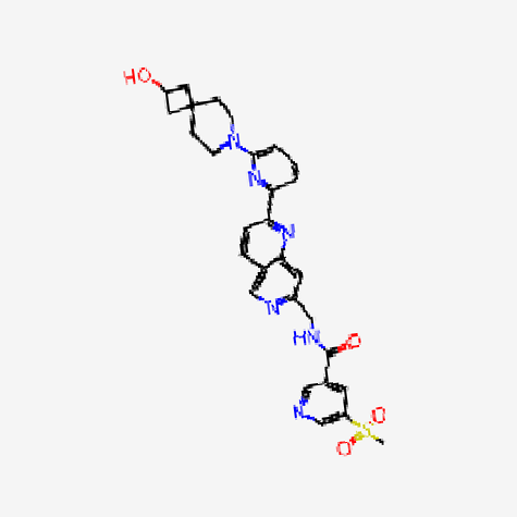 CS(=O)(=O)c1cncc(C(=O)NCc2cc3nc(-c4cccc(N5CCC6(CC5)CC(O)C6)n4)ccc3cn2)c1